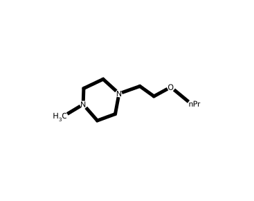 [CH2]CCOCCN1CCN(C)CC1